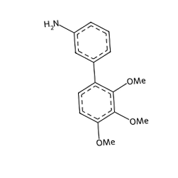 COc1ccc(-c2cccc(N)c2)c(OC)c1OC